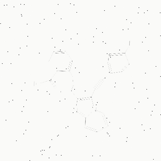 O=C(O)c1ccccc1OCc1nc2ccccn2c1C#Cc1ccc(F)cc1